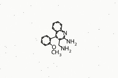 COc1ccccc1-c1c(CN)c(N)nc2ccccc12